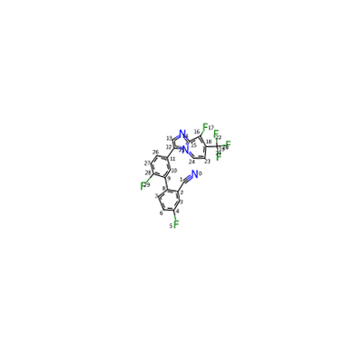 N#Cc1cc(F)ccc1-c1cc(-c2cnc3c(F)c(C(F)(F)F)ccn23)ccc1F